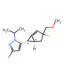 COCC1(F)C=C2[C@@H](C1)[C@@H]2c1cc(I)nn1C(C)C